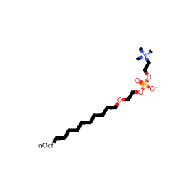 CCCCCCCCC=CCCCCCCCCOCCOP(=O)([O-])OCC[N+](C)(C)C